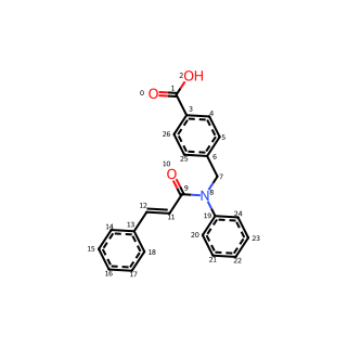 O=C(O)c1ccc(CN(C(=O)C=Cc2ccccc2)c2ccccc2)cc1